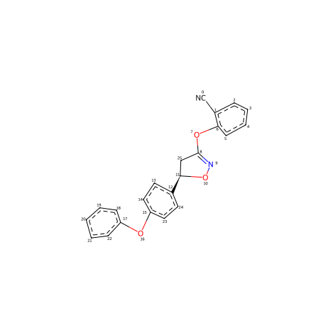 N#Cc1ccccc1OC1=NO[C@@H](c2ccc(Oc3ccccc3)cc2)C1